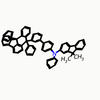 CC1(C)c2ccccc2-c2ccc(N(c3ccccc3)c3ccc(-c4cccc(C5(c6ccccc6)c6ccccc6C6(c7ccccc7)c7ccccc7-c7cccc5c76)c4)cc3)cc21